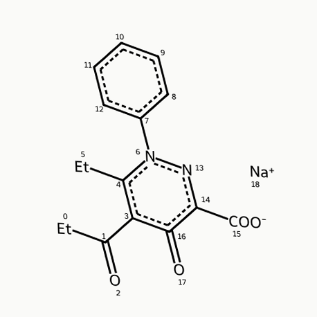 CCC(=O)c1c(CC)n(-c2ccccc2)nc(C(=O)[O-])c1=O.[Na+]